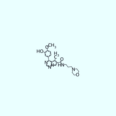 COc1ccc(-c2ncnn3cc(C(=O)NCCCN4CCOCC4)c(C)c23)cc1O